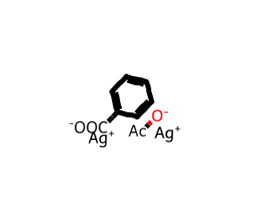 CC(=O)[O-].O=C([O-])c1ccccc1.[Ag+].[Ag+]